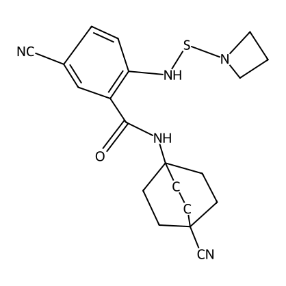 N#Cc1ccc(NSN2CCC2)c(C(=O)NC23CCC(C#N)(CC2)CC3)c1